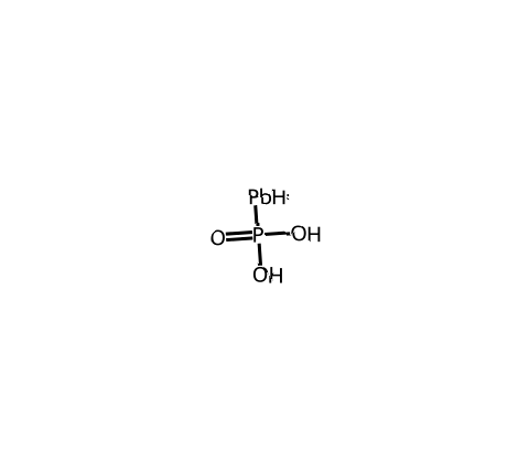 O=[P](O)(O)[PbH]